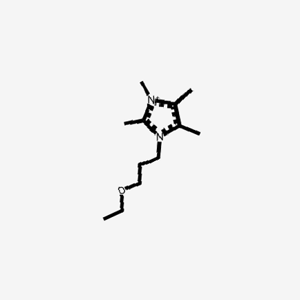 CCOCCCn1c(C)c(C)[n+](C)c1C